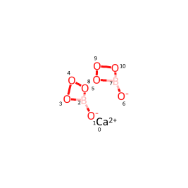 [Ca+2].[O-]B1OOO1.[O-]B1OOO1